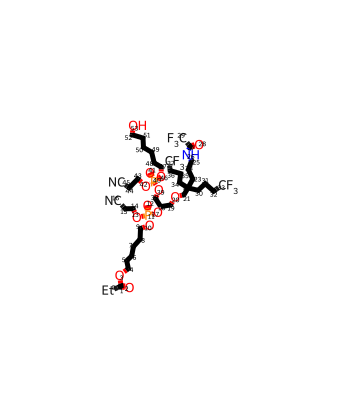 CCC(=O)OCCCCCCOP(=O)(OCCC#N)OC(COCC(CCCNC(=O)C(F)(F)F)(CCCC(F)(F)F)CCCC(F)(F)F)COP(=O)(OCCC#N)OCCCCCCO